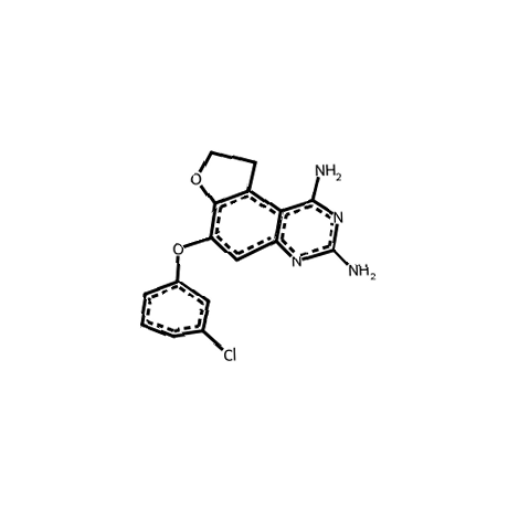 Nc1nc(N)c2c3c(c(Oc4cccc(Cl)c4)cc2n1)OCC3